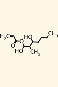 C=CC(=O)OC(O)C(C)C(O)CCCC